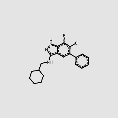 Fc1c(Cl)c(-c2ccccc2)cc2c(NCC3CCCCC3)n[nH]c12